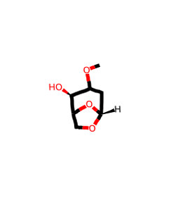 COC1C[C@@H]2OCC(O2)[C@H]1O